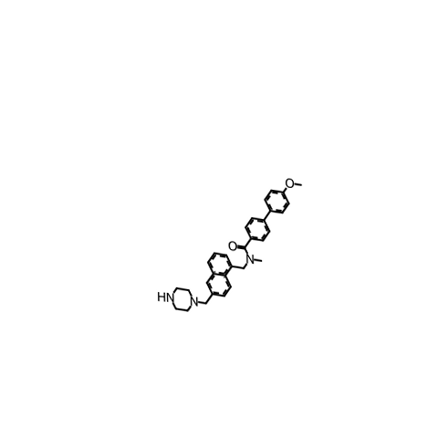 COc1ccc(-c2ccc(C(=O)N(C)Cc3cccc4cc(CN5CCNCC5)ccc34)cc2)cc1